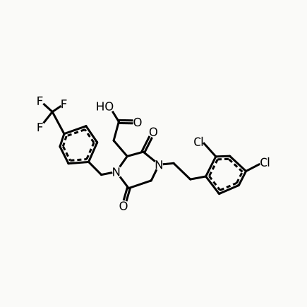 O=C(O)CC1C(=O)N(CCc2ccc(Cl)cc2Cl)CC(=O)N1Cc1ccc(C(F)(F)F)cc1